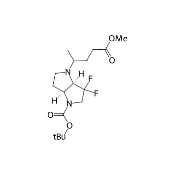 COC(=O)CCC(C)N1CC[C@H]2[C@@H]1C(F)(F)CN2C(=O)OC(C)(C)C